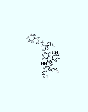 COC(=O)[C@H](CCSC)NC(=O)c1ccc(COC(C)CCCCC2CCCCC2)cc1-c1ccccc1C